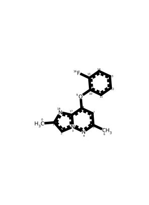 Cc1cn2nc(C)cc(Oc3ccccc3F)c2n1